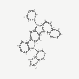 c1ccc(-n2c3cc4c5ccccc5n(-c5cccc6ncsc56)c4cc3c3c4ccccc4ccc32)cc1